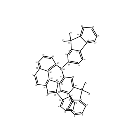 CC1(C)c2ccccc2-c2ccc(N(c3ccc4c(c3)C(C)(C)c3ccccc3-4)c3cccc4ccc5nc(-c6ccccc6)oc5c34)cc21